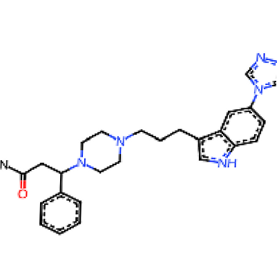 CNC(=O)CC(c1ccccc1)N1CCN(CCCc2c[nH]c3ccc(-n4cnnc4)cc23)CC1